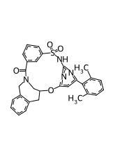 Cc1cccc(C)c1-c1cc2nc(n1)NS(=O)(=O)c1cccc(c1)C(=O)N1Cc3ccccc3CC(C1)O2